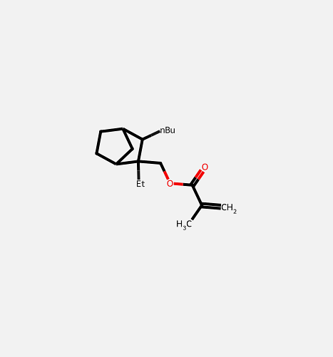 C=C(C)C(=O)OCC1(CC)C2CCC(C2)C1CCCC